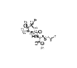 C=CCSCC(NC(=O)c1cc(OC)c(OC)c(OC)c1)C(=O)OC